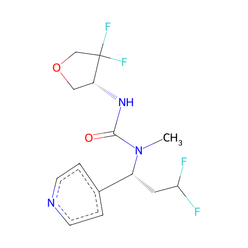 CN(C(=O)N[C@@H]1COCC1(F)F)[C@H](CC(F)F)c1ccncc1